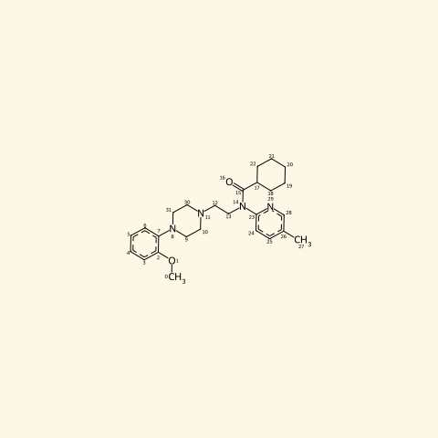 COc1ccccc1N1CCN(CCN(C(=O)C2CCCCC2)c2ccc(C)cn2)CC1